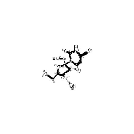 CCO[C@@]1(n2ccc(=O)[nH]c2=O)O[C@H](CO)[C@@H](O)[C@H]1O